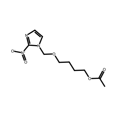 CC(=O)OCCCCOCn1ccnc1[N+](=O)[O-]